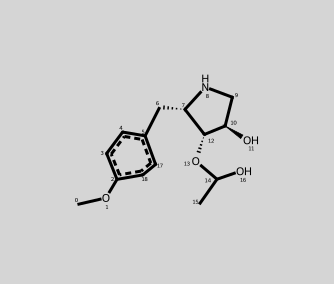 COc1ccc(C[C@@H]2NC[C@@H](O)[C@@H]2OC(C)O)cc1